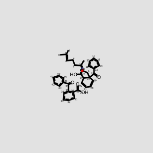 CC(C)=CCC/C(C)=C/CC1(C(=O)c2ccccc2)C=CC=CC1C(=O)O.O=C(O)c1ccccc1C(=O)c1ccccc1